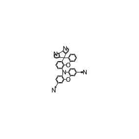 N#Cc1ccc2c(c1)Oc1cc(C#N)ccc1N2c1cccc2c1Oc1ccccc1C21c2cccnc2-c2ncccc21